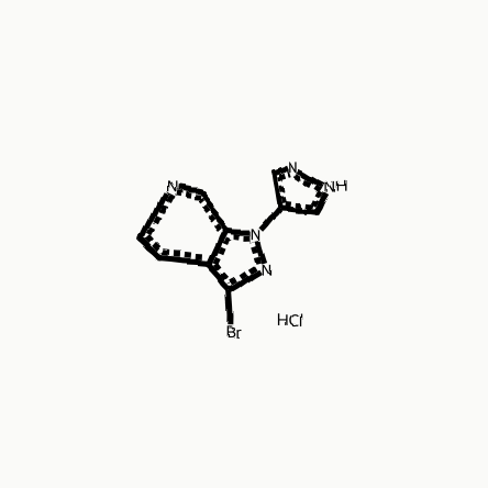 Brc1nn(-c2cn[nH]c2)c2cnccc12.Cl